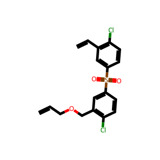 C=CCOCc1cc(S(=O)(=O)c2ccc(Cl)c(C=C)c2)ccc1Cl